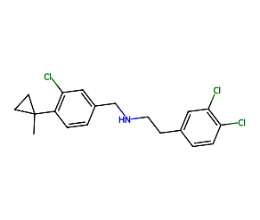 CC1(c2ccc(CNCCc3ccc(Cl)c(Cl)c3)cc2Cl)CC1